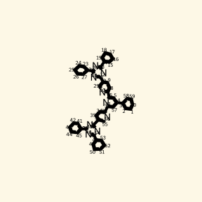 c1ccc(-c2cc(-c3ccc(-c4nc(-c5ccccc5)nc(-c5ccccc5)n4)cn3)nc(-c3ccc(-c4nc(-c5ccccc5)nc(-c5ccccc5)n4)cn3)c2)cc1